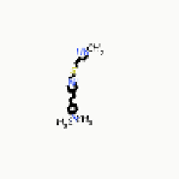 CN/C=C\C=C/CSCC[n+]1ccc(/C=C/c2ccc(N(C)C)cc2)cc1